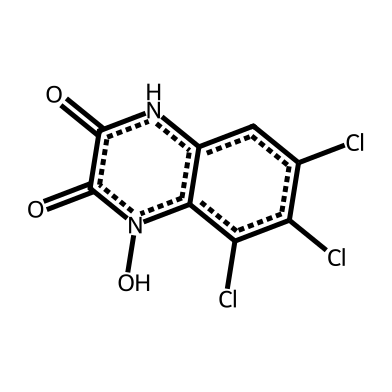 O=c1[nH]c2cc(Cl)c(Cl)c(Cl)c2n(O)c1=O